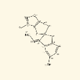 Cc1noc2c1CC1(CC2)Cc2ccc(Br)cc2/C1=N/C#N